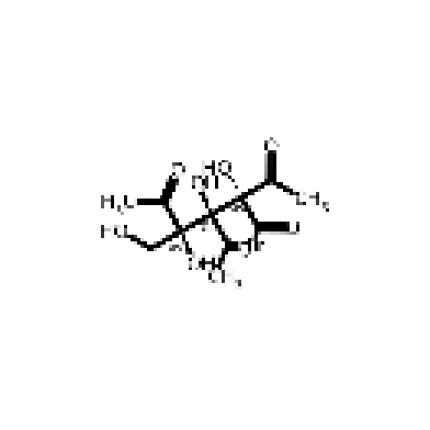 CC(=O)[C@@](O)(C(=O)Br)[C@](O)(C(C)=O)[C@](O)(CO)C(C)=O